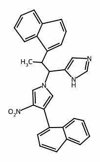 CC(c1cccc2ccccc12)C(c1cnc[nH]1)n1cc(-c2cccc3ccccc23)c([N+](=O)[O-])c1